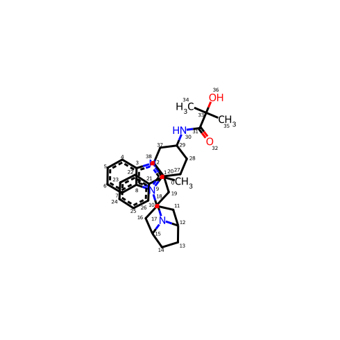 Cc1nc2ccccc2n1C1CC2CCC(C1)N2CCC1(c2ccccc2)CCC(NC(=O)C(C)(C)O)CC1